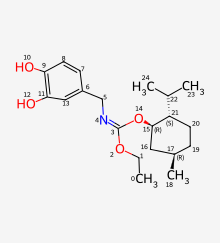 CCOC(=NCc1ccc(O)c(O)c1)O[C@@H]1C[C@H](C)CC[C@H]1C(C)C